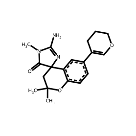 CN1C(=O)C2(CC(C)(C)Oc3ccc(C4=COCCC4)cc32)N=C1N